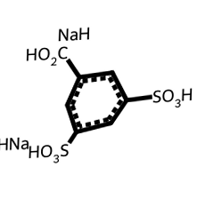 O=C(O)c1cc(S(=O)(=O)O)cc(S(=O)(=O)O)c1.[NaH].[NaH]